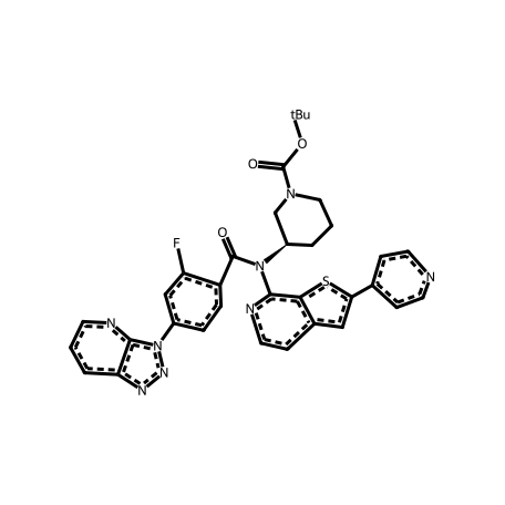 CC(C)(C)OC(=O)N1CCC[C@@H](N(C(=O)c2ccc(-n3nnc4cccnc43)cc2F)c2nccc3cc(-c4ccncc4)sc23)C1